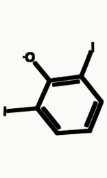 [O]c1c(I)cccc1I